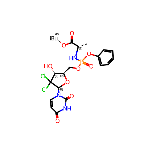 CC[C@@H](C)OC(=O)[C@H](C)NP(=O)(OC[C@H]1O[C@@H](n2ccc(=O)[nH]c2=O)C(Cl)(Cl)[C@@H]1O)Oc1ccccc1